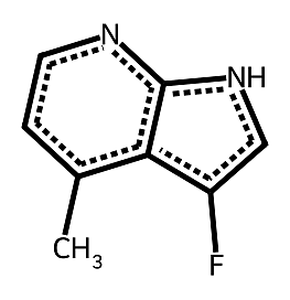 Cc1ccnc2[nH]cc(F)c12